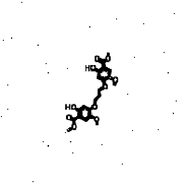 COC(=O)c1cc(OC)c(OCCCOc2cc(O)c(C(=O)OC)cc2OC)cc1O